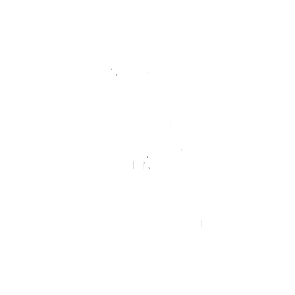 Cc1c(C(=O)N[C@H](C(=O)OCc2ccc(Cl)c(OCCN3CCCC3)c2)C(C)C)ccc2c1B(O)OC2